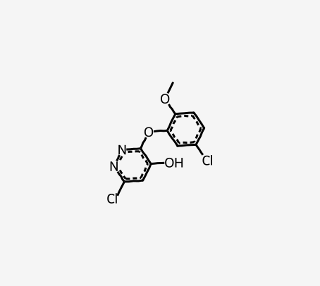 COc1ccc(Cl)cc1Oc1nnc(Cl)cc1O